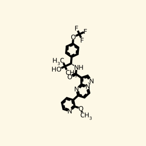 COc1ncccc1-c1ccn2ncc(C(=O)N[C@@H](c3ccc(OC(F)(F)F)cc3)C(C)(C)O)c2n1